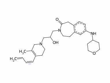 C=C/C=C\C1=C(C)CN(CC(O)CN2CCc3cc(NC4CCOCC4)ccc3CC2=O)CC1